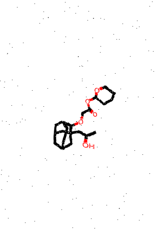 CC(O)CC12CC3CC(CC(C3)C1OCC(=O)OC1CCCCO1)C2